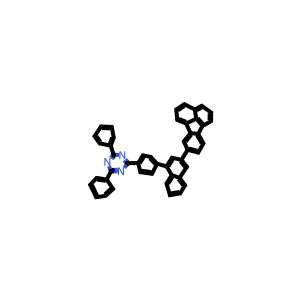 c1ccc(-c2nc(-c3ccccc3)nc(-c3ccc(-c4cc(-c5ccc6c(c5)-c5cccc7cccc-6c57)cc5ccccc45)cc3)n2)cc1